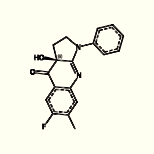 Cc1cc2c(cc1F)C(=O)[C@]1(O)CCN(c3ccccc3)C1=N2